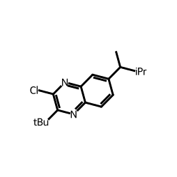 CC(C)C(C)c1ccc2nc(C(C)(C)C)c(Cl)nc2c1